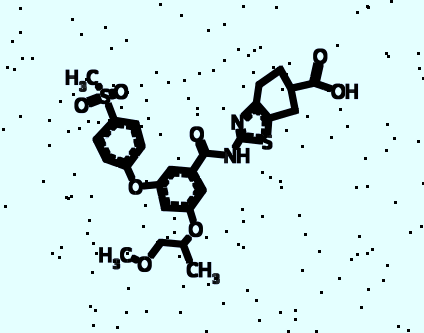 COCC(C)Oc1cc(Oc2ccc(S(C)(=O)=O)cc2)cc(C(=O)Nc2nc3c(s2)CC(C(=O)O)CC3)c1